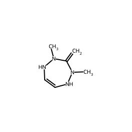 C=C1N(C)NC=CNN1C